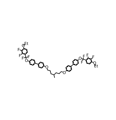 CCOc1ccc(C(F)(F)Oc2ccc(-c3ccc(OCCCC(C)CCCOc4ccc(-c5ccc(OC(F)(F)c6ccc(OCC)c(F)c6F)cc5)cc4)cc3)cc2)c(F)c1F